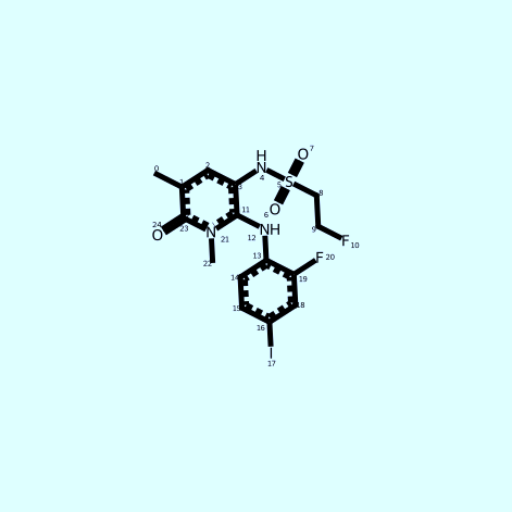 Cc1cc(NS(=O)(=O)CCF)c(Nc2ccc(I)cc2F)n(C)c1=O